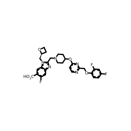 O=C(O)c1cc2c(cc1F)nc(CN1CCC(Oc3ccnc(COc4ccc(F)cc4F)n3)CC1)n2C[C@@H]1CCO1